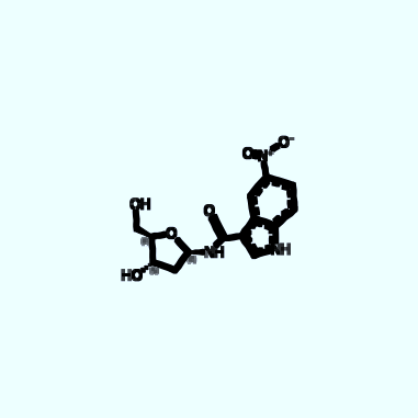 O=C(N[C@H]1C[C@H](O)[C@@H](CO)O1)c1c[nH]c2ccc([N+](=O)[O-])cc12